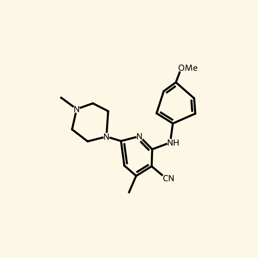 COc1ccc(Nc2nc(N3CCN(C)CC3)cc(C)c2C#N)cc1